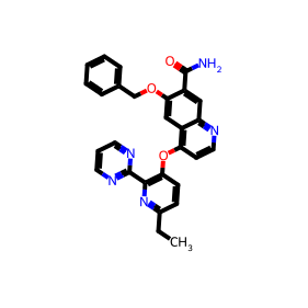 CCc1ccc(Oc2ccnc3cc(C(N)=O)c(OCc4ccccc4)cc23)c(-c2ncccn2)n1